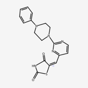 O=C1NC(=O)/C(=C\c2ccnc(N3CCN(c4ccccc4)CC3)n2)S1